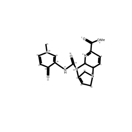 COC(=O)C1=NC2C(C=C1)N1CC=C(C1)N2C(=O)Nc1cn(C)ccc1=O